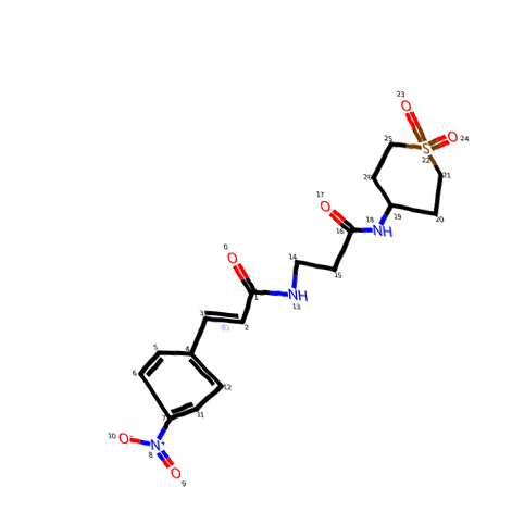 O=C(/C=C/c1ccc([N+](=O)[O-])cc1)NCCC(=O)NC1CCS(=O)(=O)CC1